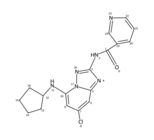 O=C(Nc1nc2cc(Cl)cc(NC3CCCC3)n2n1)c1cccnc1